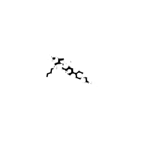 CCCCNc1nc(N)nc2cnn(Cc3ncc(C4CCN(CC(N)=O)CC4)cc3OC)c12